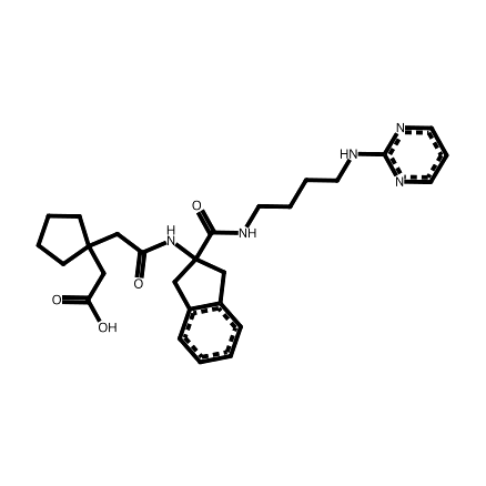 O=C(O)CC1(CC(=O)NC2(C(=O)NCCCCNc3ncccn3)Cc3ccccc3C2)CCCC1